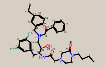 CCCCN1CCN(CC(=O)N[C@@H](Cc2cc(F)cc(F)c2)[C@H](O)CN(CC(=O)c2ccccc2)Cc2cccc(CC)c2)CC1=O